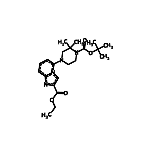 CCOC(=O)c1cn2c(N3CCN(C(=O)OC(C)(C)C)C(C)(C)C3)cccc2n1